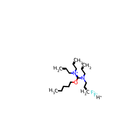 C=CCN(CC=C)C(OCCCCC)=[N+](CC=C)CC=C.[F-].[F-].[H+]